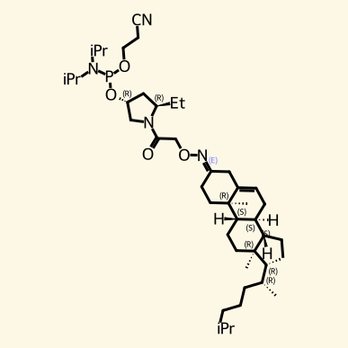 CC[C@@H]1C[C@@H](OP(OCCC#N)N(C(C)C)C(C)C)CN1C(=O)CO/N=C1\CC[C@@]2(C)C(=CC[C@H]3[C@@H]4CC[C@H]([C@H](C)CCCC(C)C)[C@@]4(C)CC[C@@H]32)C1